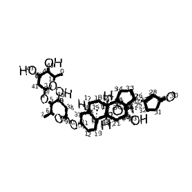 CC1O[C@@H](OC2C(C)O[C@@H](O[C@H]3CC[C@@]4(C)[C@H](CC[C@@H]5[C@@H]4C[C@@H](O)[C@]4(C)[C@@H](C6=CC(=O)CC6)CC[C@]54O)C3)C[C@H]2O)C[C@@H](O)C1O